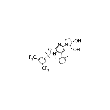 Cc1ccccc1-c1cc(N2CCC(O)C2CO)ncc1N(C)C(=O)C(C)(C)c1cc(C(F)(F)F)cc(C(F)(F)F)c1